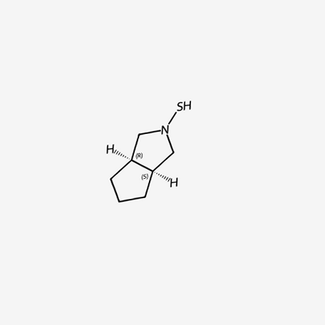 SN1C[C@H]2CCC[C@H]2C1